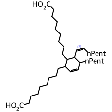 CCCCC/C=C\C1C(CCCCC)C=CC(CCCCCCCCC(=O)O)C1CCCCCCCCC(=O)O